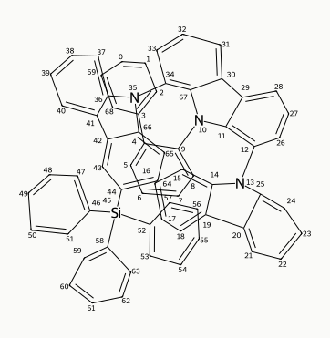 c1ccc(-c2ccccc2-n2c3c(-n4c5ccccc5c5ccccc54)cccc3c3cccc(-n4c5ccccc5c5cc([Si](c6ccccc6)(c6ccccc6)c6ccccc6)ccc54)c32)cc1